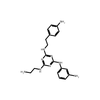 NCCNc1nc(NCCc2ccc(N)cc2)nc(Nc2cccc(N)c2)n1